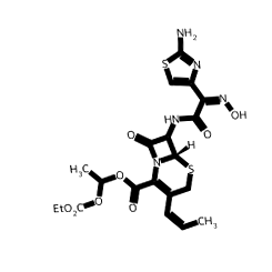 C/C=C\C1=C(C(=O)OC(C)OC(=O)OCC)N2C(=O)C(NC(=O)/C(=N\O)c3csc(N)n3)[C@@H]2SC1